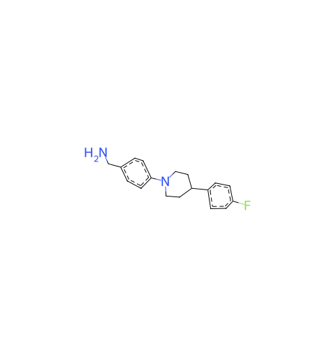 NCc1ccc(N2CCC(c3ccc(F)cc3)CC2)cc1